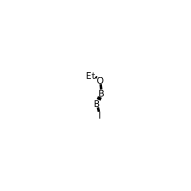 CCOB=BI